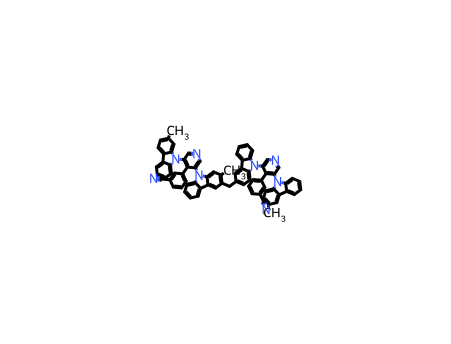 Cc1ccc2c(c1)c1ccccc1n2-c1cncc(-n2c3ccccc3c3cc(Cc4cc5c6ccccc6n(-c6cncc(-n7c8ccccc8c8ccc(C)cc87)c6-c6cccc(C#N)c6)c5cc4C)ccc32)c1-c1cccc(C#N)c1